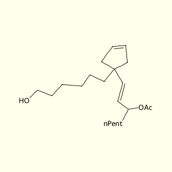 CCCCCC(C=CC1(CCCCCCO)CC=CC1)OC(C)=O